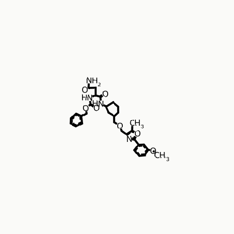 COc1cccc(-c2nc(COCC3CCCC(NC(=O)C(CC(N)=O)NC(=O)OCc4ccccc4)C3)c(C)o2)c1